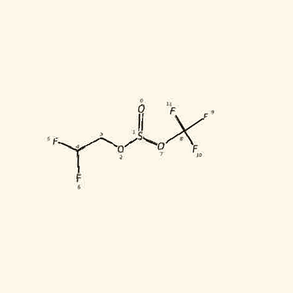 O=S(OCC(F)F)OC(F)(F)F